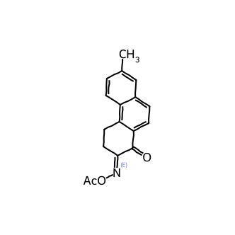 CC(=O)O/N=C1\CCc2c(ccc3cc(C)ccc23)C1=O